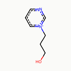 OCCC[n+]1cccnc1